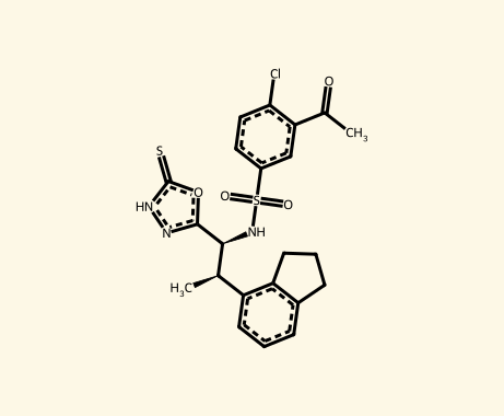 CC(=O)c1cc(S(=O)(=O)N[C@H](c2n[nH]c(=S)o2)[C@H](C)c2cccc3c2CCC3)ccc1Cl